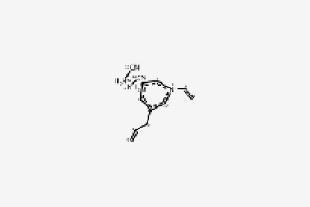 C=CCc1ccc[n+](C=C)c1.N#CN.N#CN